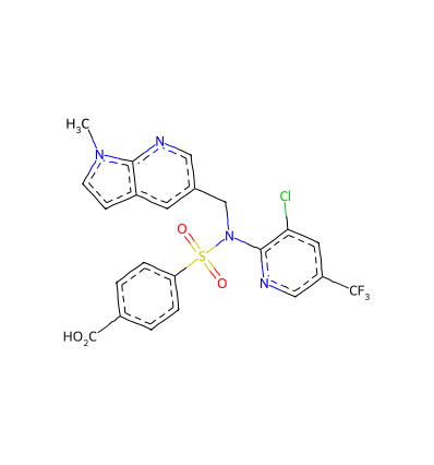 Cn1ccc2cc(CN(c3ncc(C(F)(F)F)cc3Cl)S(=O)(=O)c3ccc(C(=O)O)cc3)cnc21